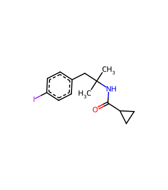 CC(C)(Cc1ccc(I)cc1)NC(=O)C1CC1